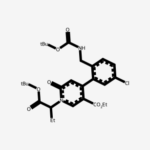 CCOC(=O)c1cn(C(CC)C(=O)OC(C)(C)C)c(=O)cc1-c1cc(Cl)ccc1CNC(=O)OC(C)(C)C